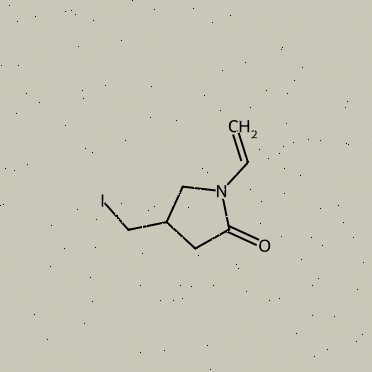 C=CN1CC(CI)CC1=O